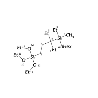 CCCCCC[Si](C)(CC)C(CC)(CC)CC[Si](OCC)(OCC)OCC